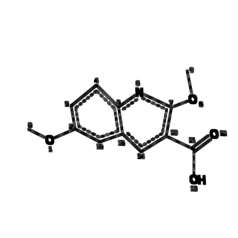 COc1ccc2nc(OC)c(C(=O)O)cc2c1